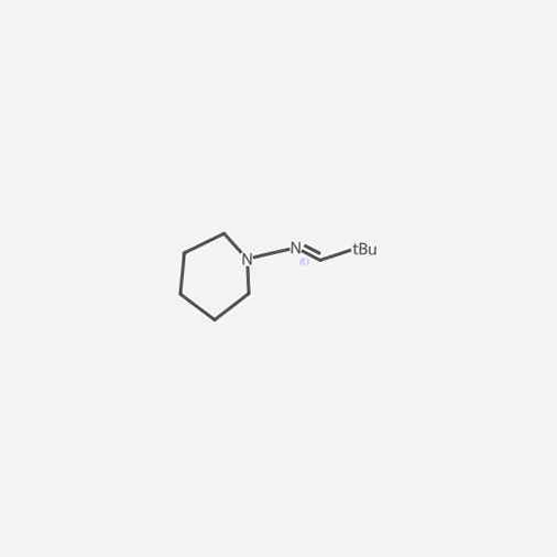 CC(C)(C)/C=N/N1CCCCC1